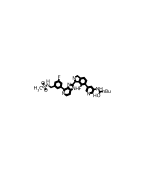 CCCCC(O)Nc1cncc(-c2ccc3c(c2F)C(c2nc4c(-c5cc(F)cc(CNS(C)(=O)=O)c5)nccc4[nH]2)=NC3)c1